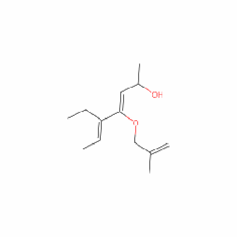 C=C(C)COC(=C\C(C)O)/C(=C/C)CC